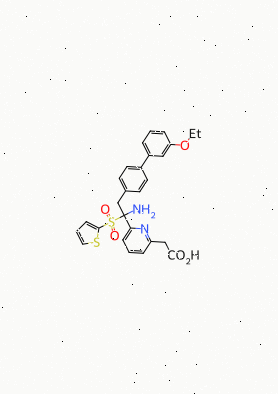 CCOc1cccc(-c2ccc(CC(N)(c3cccc(CC(=O)O)n3)S(=O)(=O)c3cccs3)cc2)c1